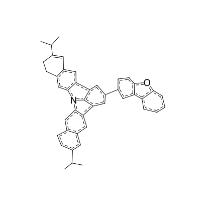 CC(C)C1=Cc2cc3c4cc(-c5ccc6oc7ccccc7c6c5)cc5c6cc7cc(C(C)C)ccc7cc6n(c3cc2CC1)c45